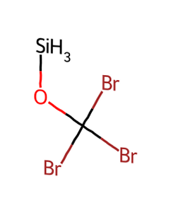 [SiH3]OC(Br)(Br)Br